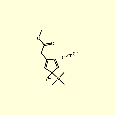 COC(=O)CC1=C[C]([Ti+3])([Si](C)(C)C)C=C1.[Cl-].[Cl-].[Cl-]